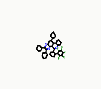 Fc1c(F)c(F)c(-c2ccccc2-c2nc3ccccc3c3c(-c4ccccc4)cc4nc(-c5ccccc5)c(-c5ccccc5)nc4c23)c(F)c1F